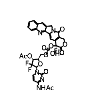 CC[C@@]1(OP(=O)(O)OC[C@H]2O[C@@H](n3ccc(NC(C)=O)nc3=O)C(F)(F)[C@@H]2OC(C)=O)C(=O)OCc2c1cc1n(c2=O)Cc2cc3ccccc3nc2-1